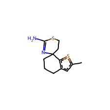 Cc1cc2c(s1)C1(CCC2)CCSC(N)=N1